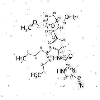 CCC/C=C(\CCCC)c1cc([C@H]2C[C@@]3(COC)CC[C@@](COI)(C2)O3)ccc1NC(=O)c1nc(C#N)c[nH]1